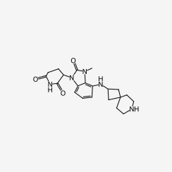 Cn1c(=O)n(C2CCC(=O)NC2=O)c2cccc(NC3CC4(CCNCC4)C3)c21